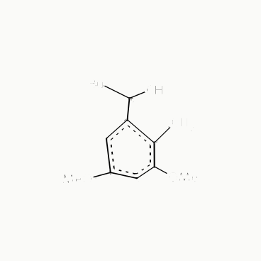 [CH2]c1c(OC)cc(OC)cc1C(C)C(C)CC